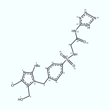 CCCCc1nc(Cl)c(CO)n1Cc1ccc(S(=O)(=O)NCC(=O)Nc2nnn[nH]2)cc1